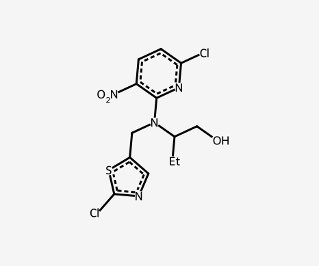 CCC(CO)N(Cc1cnc(Cl)s1)c1nc(Cl)ccc1[N+](=O)[O-]